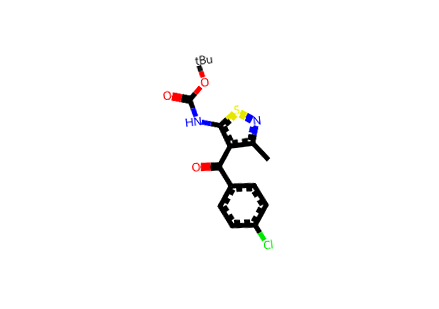 Cc1nsc(NC(=O)OC(C)(C)C)c1C(=O)c1ccc(Cl)cc1